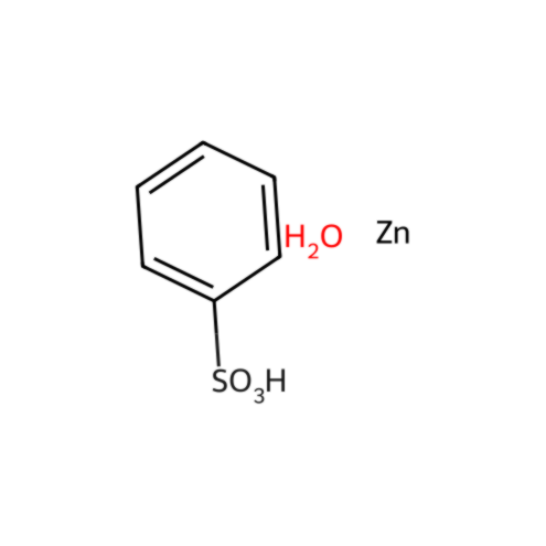 O.O=S(=O)(O)c1ccccc1.[Zn]